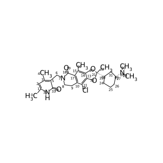 Cc1cc(C)c(CN2CCc3c(Cl)c4c(c(C)c3C2=O)OC(C)([C@H]2CCC[C@@H](N(C)C)C2)O4)c(=O)[nH]1